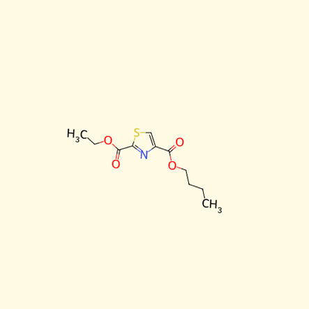 CCCCOC(=O)c1csc(C(=O)OCC)n1